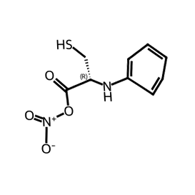 O=C(O[N+](=O)[O-])[C@H](CS)Nc1ccccc1